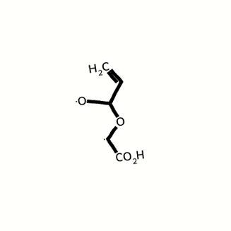 C=CC([O])O[CH]C(=O)O